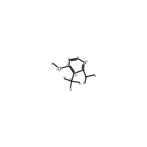 COc1ccnc(C(C)C)c1C(C)(C)C